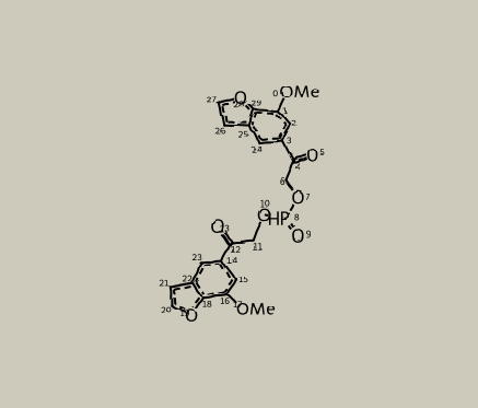 COc1cc(C(=O)CO[PH](=O)OCC(=O)c2cc(OC)c3occc3c2)cc2ccoc12